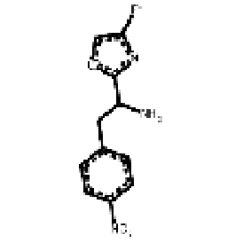 CCc1coc(C(N)Cc2ccc([N+](=O)[O-])cc2)n1